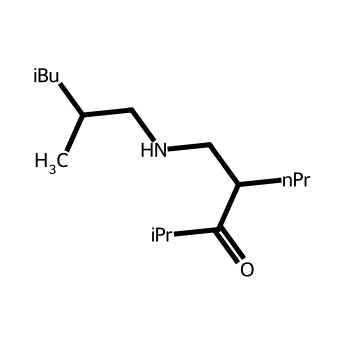 CCCC(CNCC(C)C(C)CC)C(=O)C(C)C